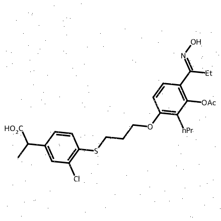 CCCc1c(OCCCSc2ccc(C(C)C(=O)O)cc2Cl)ccc(C(CC)=NO)c1OC(C)=O